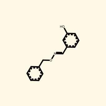 Oc1cccc(C=NOCc2ccccc2)c1